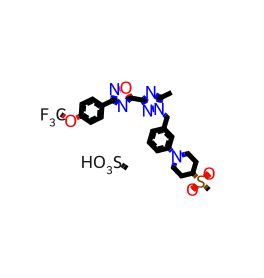 CS(=O)(=O)O.Cc1nc(-c2nc(-c3ccc(OC(F)(F)F)cc3)no2)nn1Cc1cccc(N2CCC(S(C)(=O)=O)CC2)c1